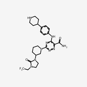 NC(=O)c1nnc(N2CCCC(N3CCN(CC(F)(F)F)C3=O)C2)nc1Nc1ccc(C2CCNCC2)cc1